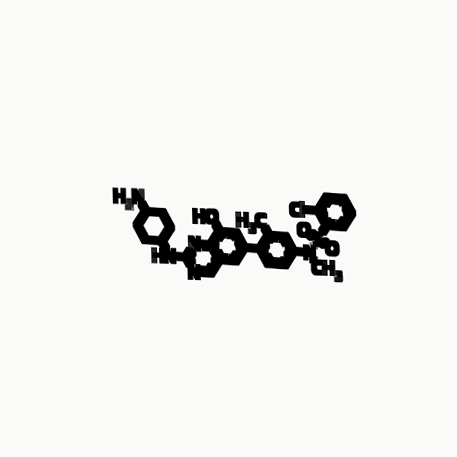 Cc1cc(N(C)S(=O)(=O)c2ccccc2Cl)ccc1-c1cc(O)c2nc(NC3CCC(N)CC3)ncc2c1